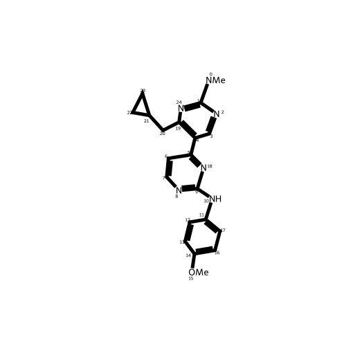 CNc1ncc(-c2ccnc(Nc3ccc(OC)cc3)n2)c(CC2CC2)n1